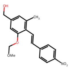 COCOc1cc(CO)cc(C)c1/C=C/c1ccc([N+](=O)[O-])cc1